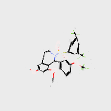 COc1cc2c(c(OC)c1)C(c1cccc(OC(F)(F)F)c1)N(S(=O)(=O)c1cc(C(F)(F)F)cc(C(F)(F)F)c1)CC2